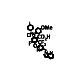 COC1CCC(N(c2cc(F)c(Oc3ncc(Cn4ccc5cccnc54)cc3C(F)(F)F)cc2C(=O)O)C(=O)[C@H]2CC[C@H](C)CC2)CC1